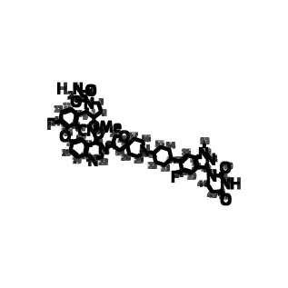 COC1CCN(S(N)(=O)=O)C1c1ccc(F)c(Oc2ccc3ncn([C@H]4COC5(CCN(C6CCC(c7cc8c(cc7F)c(N7CCC(=O)NC7=O)nn8C)CC6)CC5)C4)c(=O)c3c2)c1C#N